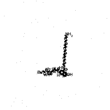 CCCO[C@H](CC(C(C)C)N(CCC)C(=O)C[C@@H](C)CC)c1nc(C(=O)N[C@H]2Cc3ccc(O)cc3[C@H](C(=O)NCCOCCOCCOCCOCCOCCOCCN)C2)cs1